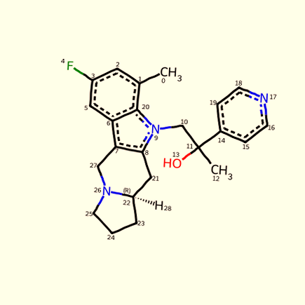 Cc1cc(F)cc2c3c(n(CC(C)(O)c4ccncc4)c12)C[C@H]1CCCN1C3